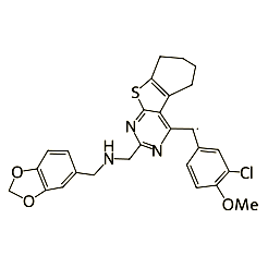 COc1ccc([CH]c2nc(CNCc3ccc4c(c3)OCO4)nc3sc4c(c23)CCCC4)cc1Cl